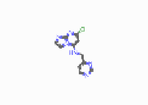 Clc1cc(NCc2ccncn2)n2ccnc2n1